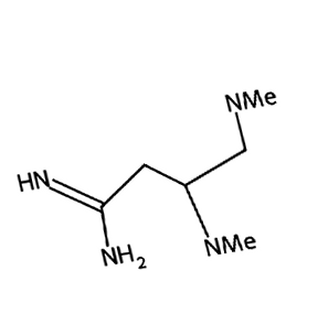 CNCC(CC(=N)N)NC